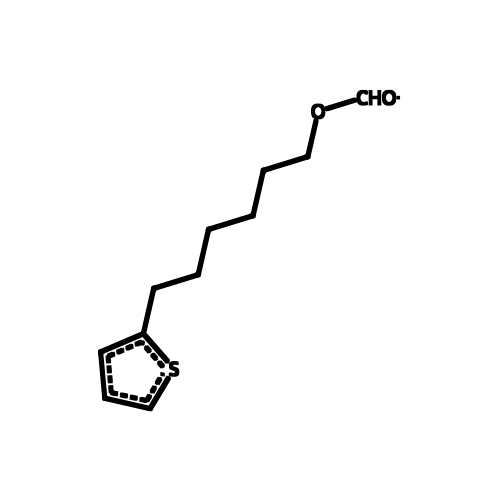 O=[C]OCCCCCCc1cccs1